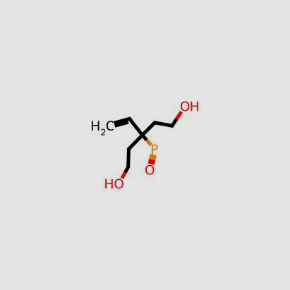 C=CC(CCO)(CCO)P=O